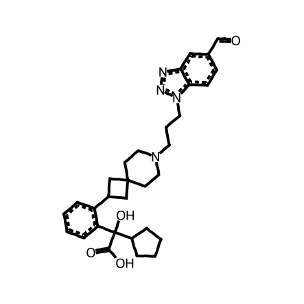 O=Cc1ccc2c(c1)nnn2CCCN1CCC2(CC1)CC(c1ccccc1C(O)(C(=O)O)C1CCCC1)C2